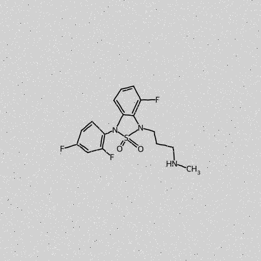 CNCCCN1c2c(F)cccc2N(c2ccc(F)cc2F)S1(=O)=O